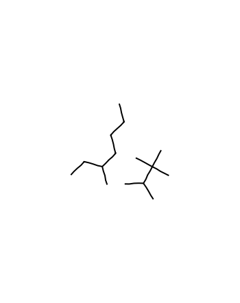 CC(C)C(C)(C)C.CCCCC(C)CC